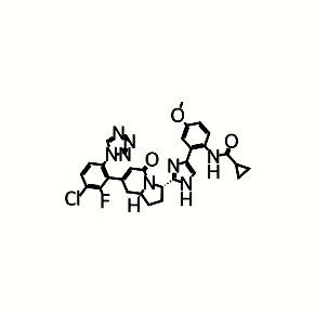 COc1ccc(NC(=O)C2CC2)c(-c2c[nH]c([C@@H]3CC[C@H]4CC(c5c(-n6cnnn6)ccc(Cl)c5F)=CC(=O)N43)n2)c1